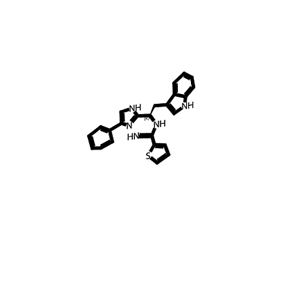 N=C(N[C@H](Cc1c[nH]c2ccccc12)c1nc(-c2ccccc2)c[nH]1)c1cccs1